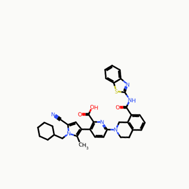 Cc1c(-c2ccc(N3CCc4cccc(C(=O)Nc5nc6ccccc6s5)c4C3)nc2C(=O)O)cc(C#N)n1CC1CCCCC1